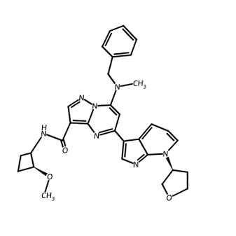 CO[C@H]1CCC1NC(=O)c1cnn2c(N(C)Cc3ccccc3)cc(-c3cnc4n([C@H]5CCOC5)cccc3-4)nc12